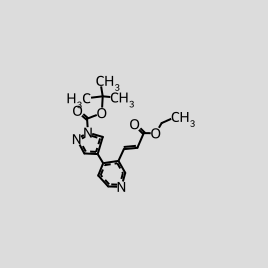 CCOC(=O)/C=C/c1cnccc1-c1cnn(C(=O)OC(C)(C)C)c1